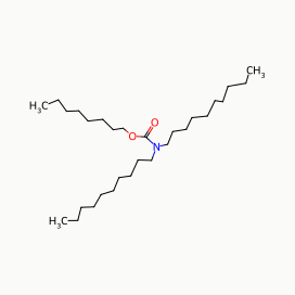 CCCCCCCCCCN(CCCCCCCCCC)C(=O)OCCCCCCCC